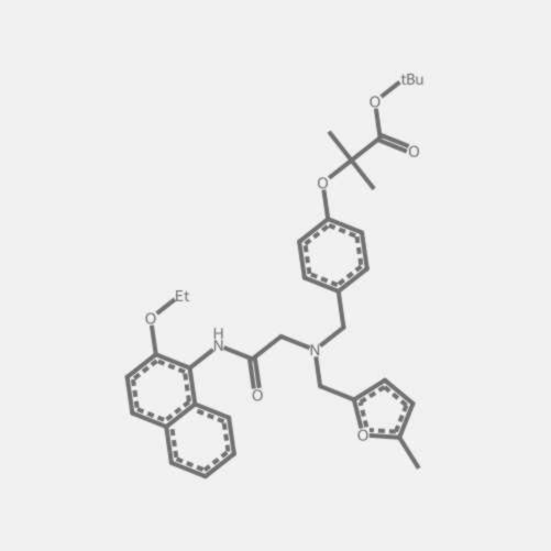 CCOc1ccc2ccccc2c1NC(=O)CN(Cc1ccc(OC(C)(C)C(=O)OC(C)(C)C)cc1)Cc1ccc(C)o1